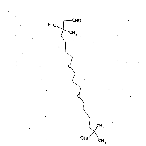 CC(C)(C=O)CCCCOCCCOCCCCC(C)(C)CC=O